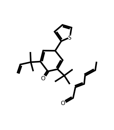 C=CC(C)(C)C1=CC(c2cccs2)C=C(C(C)(C)C)C1=O.CC=CC=CC=O